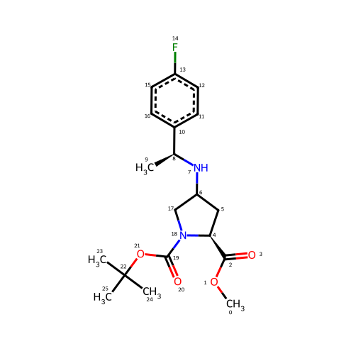 COC(=O)[C@@H]1CC(N[C@@H](C)c2ccc(F)cc2)CN1C(=O)OC(C)(C)C